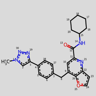 Cn1cc(-c2ccc(Cc3cc(C(=O)NC4CCCCC4)nc4ccoc34)cc2)nn1